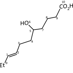 CCC=CCCC(O)CCCC(=O)O